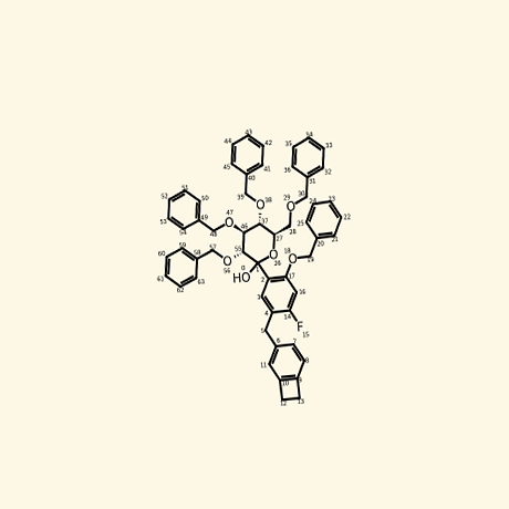 OC1(c2cc(Cc3ccc4c(c3)CC4)c(F)cc2OCc2ccccc2)O[C@H](COCc2ccccc2)[C@@H](OCc2ccccc2)[C@H](OCc2ccccc2)[C@H]1OCc1ccccc1